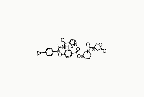 C[C@H](NC(=O)c1ccns1)[C@H](Oc1ccc(C(=O)O[C@H]2CCCN(C(=O)[C@H]3COC(=O)C3)C2)cc1)c1ccc(C2CC2)cc1